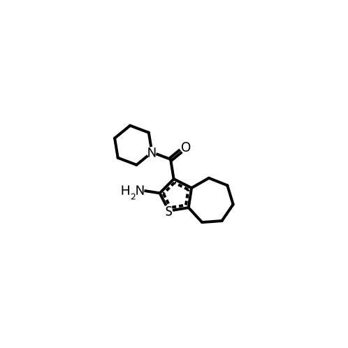 Nc1sc2c(c1C(=O)N1CCCCC1)CCCCC2